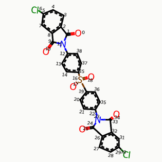 O=C1c2ccc(Cl)cc2C(=O)N1c1ccc(S(=O)(=O)c2ccc(N3C(=O)c4ccc(Cl)cc4C3=O)cc2)cc1